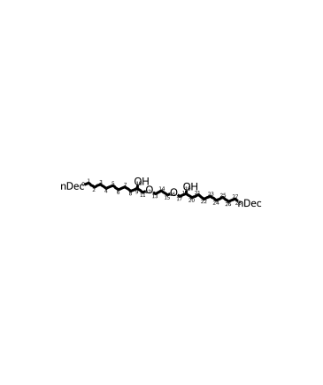 CCCCCCCCCCCCCCCCCCC(O)COCCCOCC(O)CCCCCCCCCCCCCCCCCC